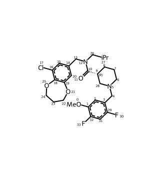 COc1cc(CN2CCC[C@@H](C(=O)N(Cc3cc(Cl)c4c(c3)OCCCO4)CC(C)C)C2)c(F)cc1F